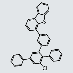 Clc1cc(-c2ccccc2)cc(-c2cccc(-c3cccc4c3sc3ccccc34)c2)c1-c1ccccc1